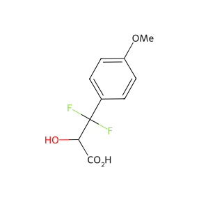 COc1ccc(C(F)(F)C(O)C(=O)O)cc1